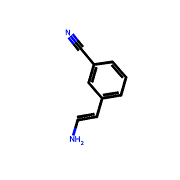 N#Cc1cccc(C=CN)c1